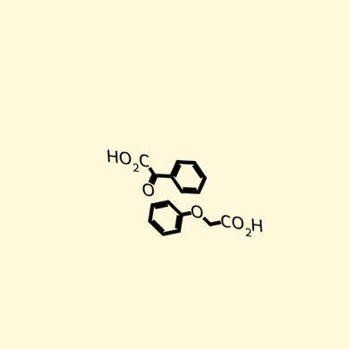 O=C(O)C(=O)c1ccccc1.O=C(O)COc1ccccc1